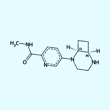 CNC(=O)c1ccc(N2CCN[C@@H]3CC[C@@H]32)cn1